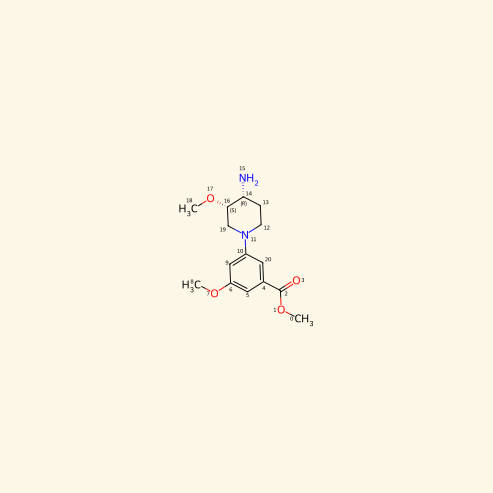 COC(=O)c1cc(OC)cc(N2CC[C@@H](N)[C@@H](OC)C2)c1